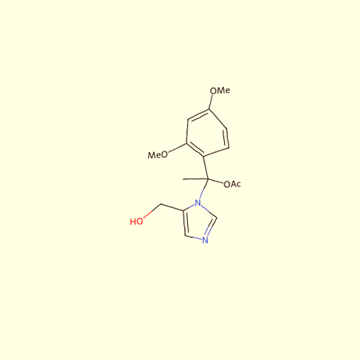 COc1ccc(C(C)(OC(C)=O)n2cncc2CO)c(OC)c1